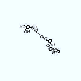 O=C(Nc1cccc(COCCOCCCCCCNC[C@H](O)c2ccc(O)c(CO)c2)c1)c1cccc(NC(=O)c2cccs2)c1